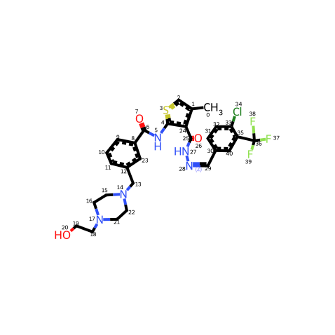 Cc1csc(NC(=O)c2cccc(CN3CCN(CCO)CC3)c2)c1C(=O)N/N=C\c1ccc(Cl)c(C(F)(F)F)c1